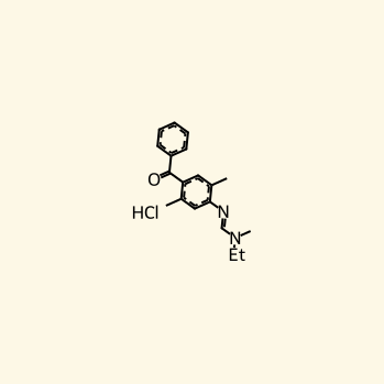 CCN(C)/C=N/c1cc(C)c(C(=O)c2ccccc2)cc1C.Cl